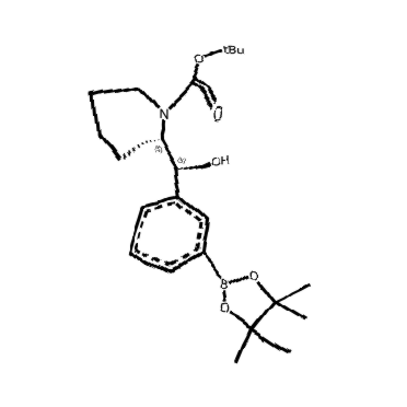 CC(C)(C)OC(=O)N1CCCC[C@H]1[C@@H](O)c1cccc(B2OC(C)(C)C(C)(C)O2)c1